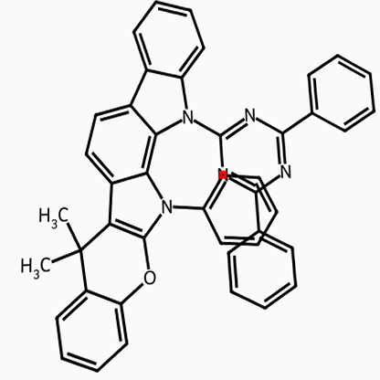 CC1(C)c2ccccc2Oc2c1c1ccc3c4ccccc4n(-c4nc(-c5ccccc5)nc(-c5ccccc5)n4)c3c1n2-c1ccccc1